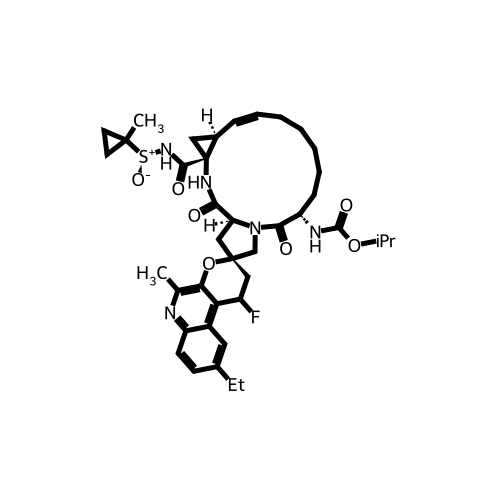 CCc1ccc2nc(C)c3c(c2c1)C(F)C[C@]1(C[C@H]2C(=O)N[C@]4(C(=O)N[S@+]([O-])C5(C)CC5)C[C@H]4/C=C\CCCCC[C@H](NC(=O)OC(C)C)C(=O)N2C1)O3